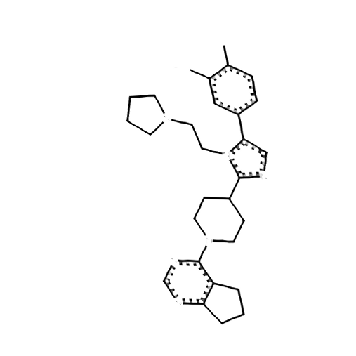 Fc1ccc(-c2cnc(C3CCN(c4ncnc5c4CCC5)CC3)n2CCN2CCCC2)cc1C(F)(F)F